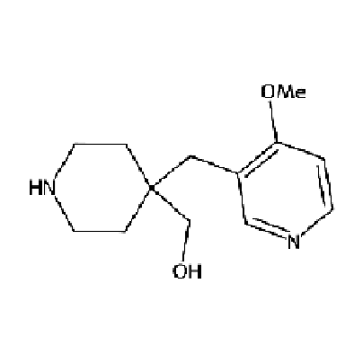 COc1ccncc1CC1(CO)CCNCC1